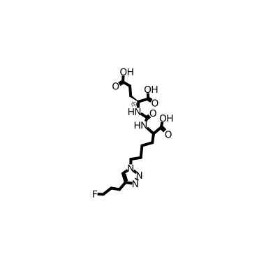 O=C(O)CC[C@H](NC(=O)NC(CCCCn1cc(CCCF)nn1)C(=O)O)C(=O)O